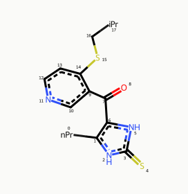 CCCc1[nH]c(=S)[nH]c1C(=O)c1cnccc1SCC(C)C